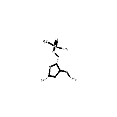 [3H][C@H]1CC(OC)[C@@H](COP(C)(C)=O)O1